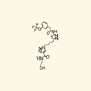 O=C(Cc1cccc(OC(F)(F)F)c1)Nc1nnc(CCCCn2cc(C(=O)NCCO)nn2)s1